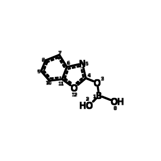 OB(O)Oc1nc2ccccc2o1